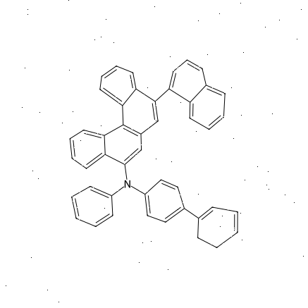 C1=CCCC(c2ccc(N(c3ccccc3)c3cc4cc(-c5cccc6ccccc56)c5ccccc5c4c4ccccc34)cc2)=C1